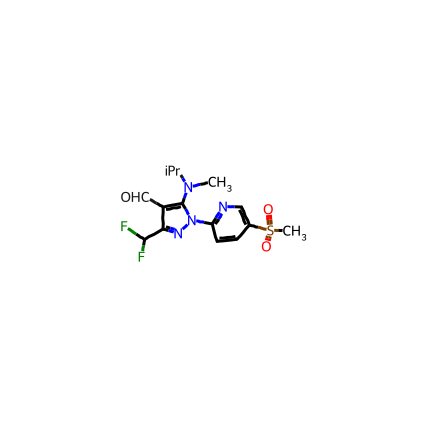 CC(C)N(C)c1c(C=O)c(C(F)F)nn1-c1ccc(S(C)(=O)=O)cn1